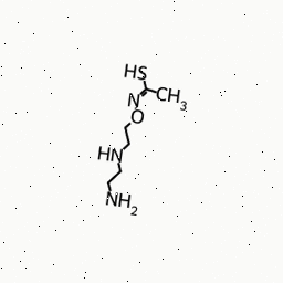 C/C(S)=N\OCCNCCN